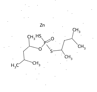 CC(C)CC(C)OP(=O)(S)SC(C)CC(C)C.[Zn]